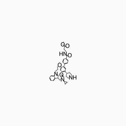 COCCCN1CC(CN(C(=O)[C@H]2CNCC[C@@H]2c2cccc(-c3ccc(C(=O)NCCC(=O)OC)cc3)c2)C2CC2)c2ccccc21